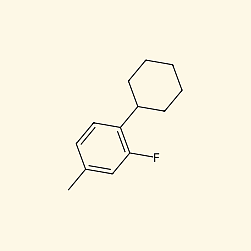 Cc1ccc(C2CCCCC2)c(F)c1